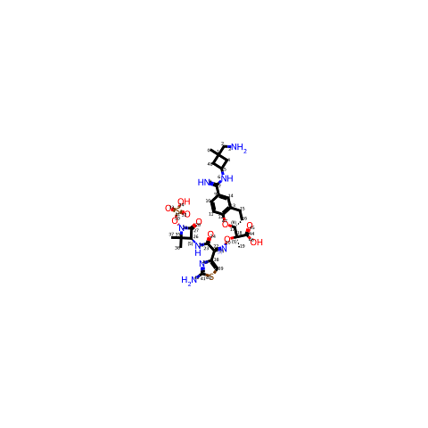 CC1(CN)CC(NC(=N)c2ccc3c(c2)CC[C@H]([C@](C)(O/N=C(\C(=O)N[C@@H]2C(=O)N(OS(=O)(=O)O)C2(C)C)c2csc(N)n2)C(=O)O)O3)C1